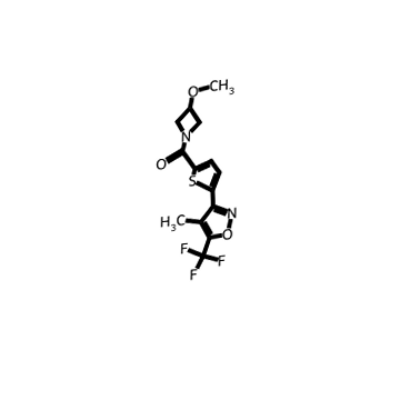 COC1CN(C(=O)c2ccc(-c3noc(C(F)(F)F)c3C)s2)C1